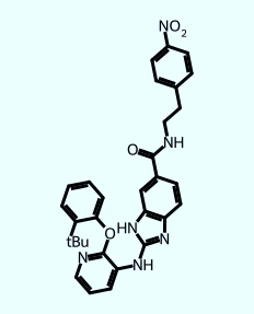 CC(C)(C)c1ccccc1Oc1ncccc1Nc1nc2ccc(C(=O)NCCc3ccc([N+](=O)[O-])cc3)cc2[nH]1